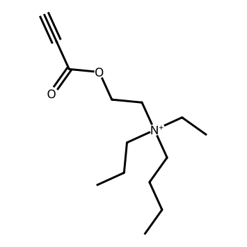 C#CC(=O)OCC[N+](CC)(CCC)CCCC